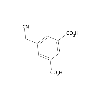 N#CCc1cc(C(=O)O)cc(C(=O)O)c1